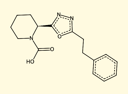 O=C(O)N1CCCC[C@H]1c1nnc(CCc2ccccc2)o1